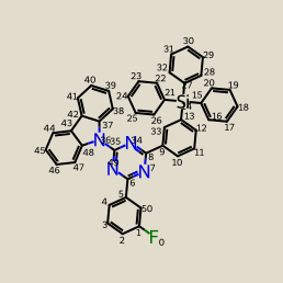 Fc1cccc(-c2nc(-c3cccc([Si](c4ccccc4)(c4ccccc4)c4ccccc4)c3)nc(-n3c4ccccc4c4ccccc43)n2)c1